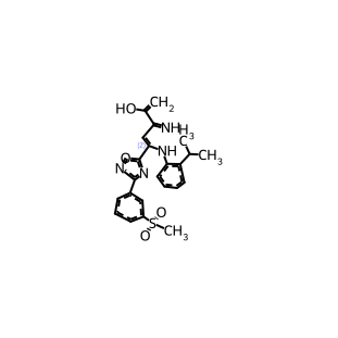 C=C(O)C(=N)/C=C(\Nc1ccccc1C(C)C)c1nc(-c2cccc(S(C)(=O)=O)c2)no1